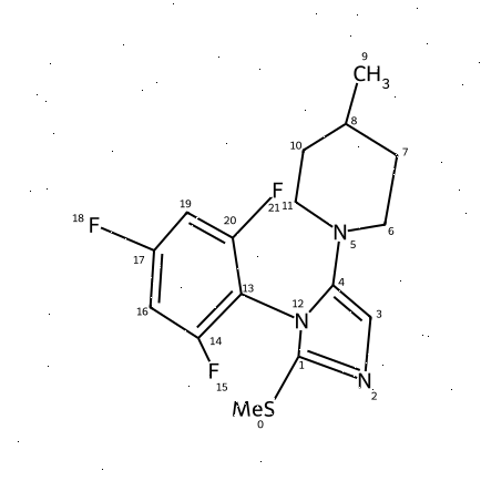 CSc1ncc(N2CCC(C)CC2)n1-c1c(F)cc(F)cc1F